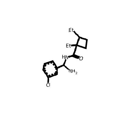 CCC1CCC1(CC)C(=O)NC(N)c1cccc(Cl)c1